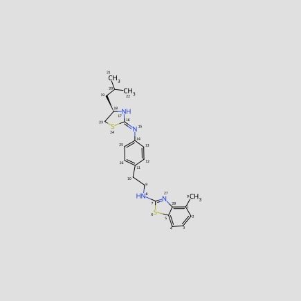 Cc1cccc2sc(NCCc3ccc(/N=C4/N[C@H](CC(C)C)CS4)cc3)nc12